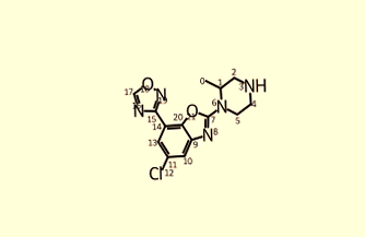 CC1CNCCN1c1nc2cc(Cl)cc(-c3ncon3)c2o1